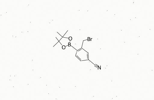 CC1(C)OB(c2ccc(C#N)cc2CBr)OC1(C)C